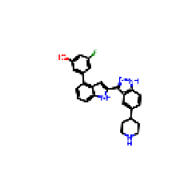 Oc1cc(F)cc(-c2cccc3[nH]c(-c4n[nH]c5ccc(C6CCNCC6)cc45)cc23)c1